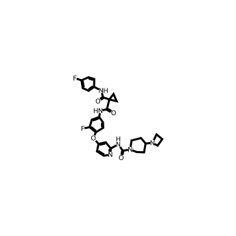 O=C(Nc1cc(Oc2ccc(NC(=O)C3(C(=O)Nc4ccc(F)cc4)CC3)cc2F)ccn1)N1CCC(N2CCC2)CC1